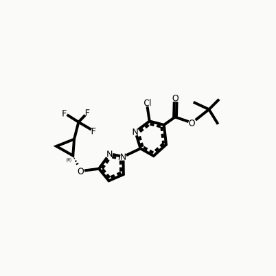 CC(C)(C)OC(=O)c1ccc(-n2ccc(O[C@@H]3CC3C(F)(F)F)n2)nc1Cl